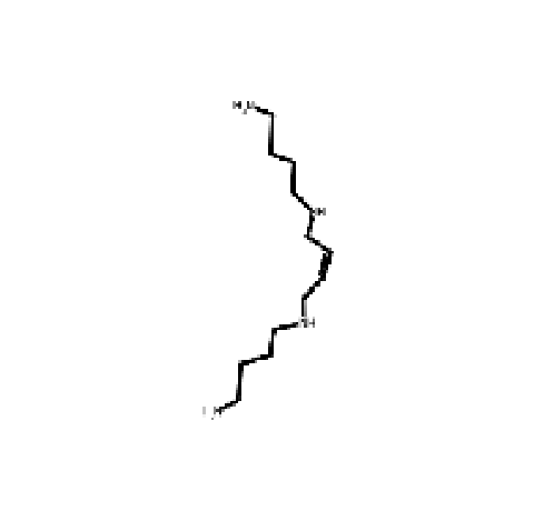 NCCCCNC/C=C\CNCCCCN